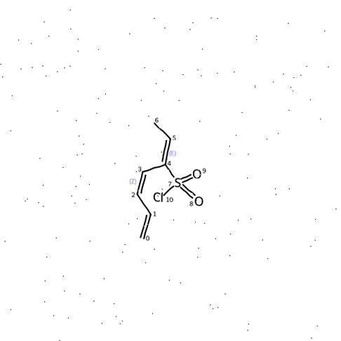 C=C/C=C\C(=C/C)S(=O)(=O)Cl